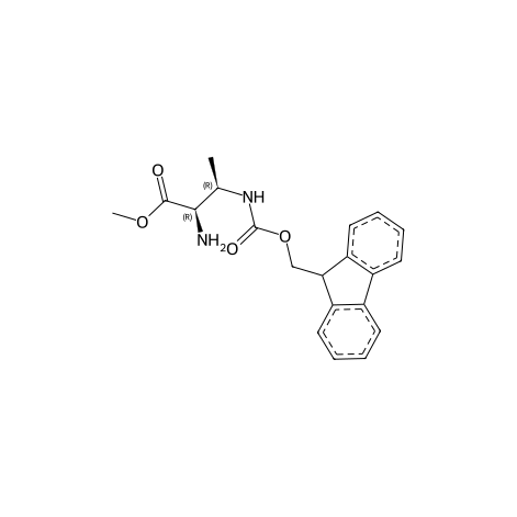 COC(=O)[C@H](N)[C@@H](C)NC(=O)OCC1c2ccccc2-c2ccccc21